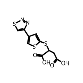 O=C(O)CC(Sc1cc(-c2csnn2)cs1)C(=O)O